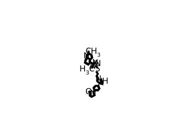 Cc1ccc2c(-c3nnc(SCCCN4C[C@@H]5C[C@]5(c5ccc(N6CCCC6=O)cc5)C4)n3C)cccc2n1